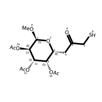 CO[C@H]1O[C@H](CC(=O)CS)[C@H](OC(C)=O)[C@H](OC(C)=O)[C@H]1OC(C)=O